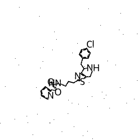 O=S(=O)(NCCCc1nc2c(s1)CCNC2Cc1ccc(Cl)cc1)c1ccccn1